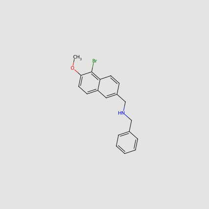 COc1ccc2cc(CNCc3ccccc3)ccc2c1Br